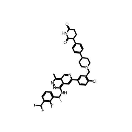 Cc1nnc(N[C@H](C)c2cccc(C(F)F)c2F)c2cc(-c3ccc(Cl)c(CN4CCC(c5ccc(C6CCC(=O)NC6=O)cc5)CC4)c3)ncc12